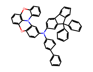 c1ccc(-c2ccc(N(c3ccc4c(c3)N3c5ccccc5Oc5cccc(c53)O4)c3ccc4c(c3)C(c3ccccc3)(c3ccccc3)c3ccccc3-4)cc2)cc1